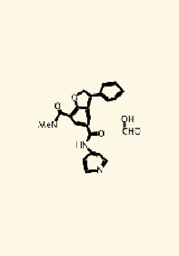 CNC(=O)c1cc(C(=O)Nc2ccncc2)cc2c1OCC2c1ccccc1.O=CO